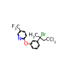 CC(Br)(CC(Cl)(Cl)Cl)c1cccc(Oc2ccc(C(F)(F)F)cn2)c1